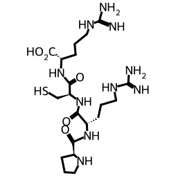 N=C(N)NCCC[C@H](NC(=O)[C@H](CS)NC(=O)[C@H](CCCNC(=N)N)NC(=O)[C@@H]1CCCN1)C(=O)O